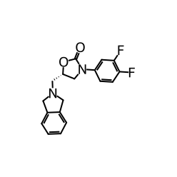 O=C1O[C@@H](CN2Cc3ccccc3C2)CN1c1ccc(F)c(F)c1